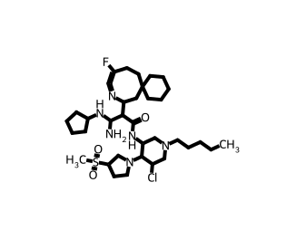 CCCCCN1CC(Cl)C(N2CCC(S(C)(=O)=O)C2)C(NC(=O)C(C2CC3(CCCCC3)CCC(F)=C=N2)C(N)NC2CCCC2)C1